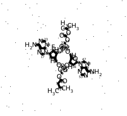 CC(C)CC(=O)OCOP1(=O)OC[C@H]2C[C@@H](n3cnc4c(N)ncnc43)C(F)[C@H]2OP(=O)(OCOC(=O)OC(C)C)OC[C@H]2O[C@@H](n3cnc4c(N)ncnc43)C[C@H]2O1